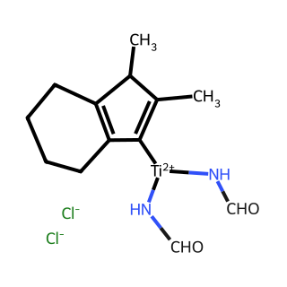 CC1=[C]([Ti+2]([NH]C=O)[NH]C=O)C2=C(CCCC2)C1C.[Cl-].[Cl-]